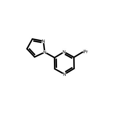 CC(C)c1cncc(-n2cccn2)n1